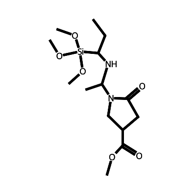 CCC(NC(C)N1CC(C(=O)OC)CC1=O)[Si](OC)(OC)OC